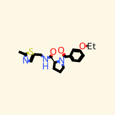 CCOc1cccc(C(=O)N2CCC[C@H]2C(=O)NCc2cnc(C)s2)c1